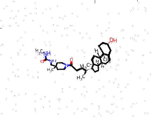 CNC(=O)NCC1(C)CCN(C(=O)CCC(C)[C@H]2CC[C@H]3[C@@H]4CC=C5C[C@@H](O)CC[C@]5(C)[C@H]4CC[C@]23C)CC1